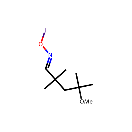 COC(C)(C)CC(C)(C)/C=N/OI